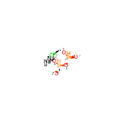 CCl.O=[PH]([O-])O[PH](=O)[O-].[Na+].[Na+]